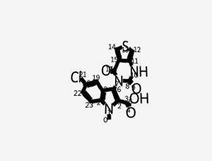 Cn1c(C(=O)O)c(-n2c(=O)[nH]c3cscc3c2=O)c2cc(Cl)ccc21